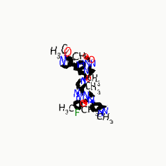 COc1nccc(-c2ccc3c(c2)cc(C(=O)N2CCc4nn(-c5cc(C)c(F)c(C)c5)c(-n5ccn(-c6ccc7c(cnn7C)c6)c5=O)c4[C@@H]2C)n3[C@@]2(c3noc(=O)[nH]3)C[C@@H]2C)c1C